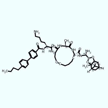 CCCCc1ccc(-c2ccc(C(=O)N[C@@H](CCCCN)C(=O)N[C@H]3COCCCCC[C@@H](C(=O)N[C@@H](N)B4OC5C[C@@H]6C[C@@H](C6(C)C)[C@]5(C)O4)NC(=O)[C@H](C)NC3=O)cc2)cc1